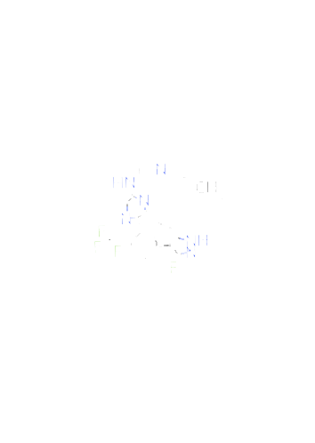 CCCCN1CC[C@@H](Nc2cnc(C3=C(CC(F)(F)F)CCCc4c3ccc3[nH]nc(F)c43)cn2)C1